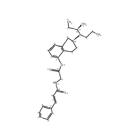 CCCN([C@H]1CCc2c(cccc2OC(=O)CNC(=O)/C=C/c2ccccc2)C1)[C@H](C)CC